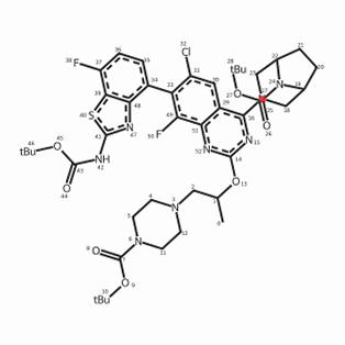 CC(CN1CCN(C(=O)OC(C)(C)C)CC1)Oc1nc(N2CC3CCC(C2)N3C(=O)OC(C)(C)C)c2cc(Cl)c(-c3ccc(F)c4sc(NC(=O)OC(C)(C)C)nc34)c(F)c2n1